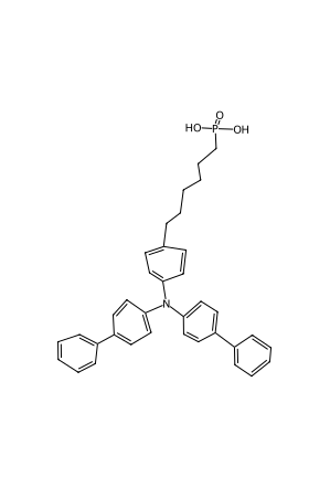 O=P(O)(O)CCCCCCc1ccc(N(c2ccc(-c3ccccc3)cc2)c2ccc(-c3ccccc3)cc2)cc1